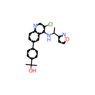 CC(Nc1c(Cl)cnc2ccc(-c3ccc(C(C)(C)O)cc3)cc12)c1ccon1